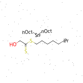 CC(C)CCCCCSC(=S)CO.CCCCCCC[CH2][Sn][CH2]CCCCCCC